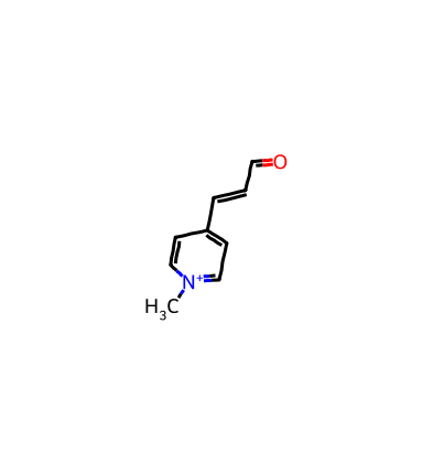 C[n+]1ccc(C=CC=O)cc1